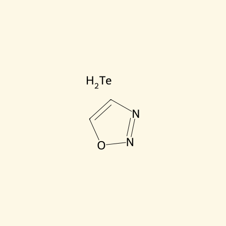 [TeH2].c1conn1